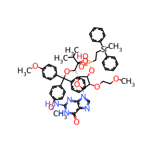 COCCO[C@@H]1[C@H](OP(=O)(O)CC[Si](C)(c2ccccc2)c2ccccc2)[C@@H](C(OC(c2ccccc2)(c2ccc(OC)cc2)c2ccc(OC)cc2)C(=O)C(C)C)O[C@H]1n1cnc2c(=O)[nH]c(N)nc21